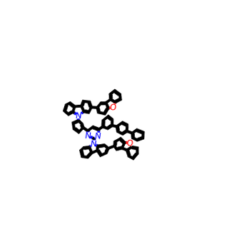 c1ccc(-c2ccc(-c3cccc(-c4cc(-c5cccc(-n6c7ccccc7c7ccc(-c8ccc9oc%10ccccc%10c9c8)cc76)c5)nc(-n5c6ccccc6c6ccc(-c7ccc8oc9ccccc9c8c7)cc65)n4)c3)cc2)cc1